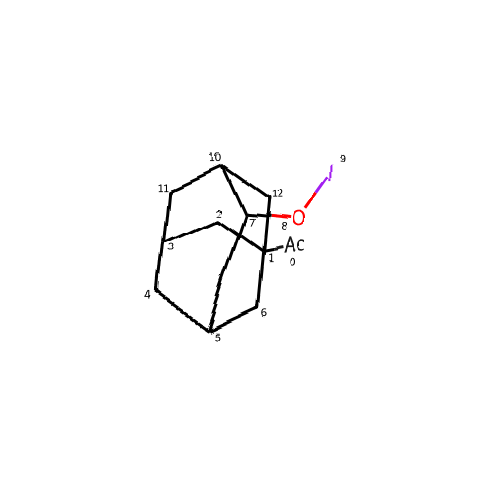 CC(=O)C12CC3CC(C1)C(OI)C(C3)C2